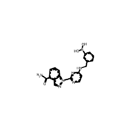 NC(=O)c1cccc2c1cnn2-c1nccc(NCc2cccc(B(O)O)c2)n1